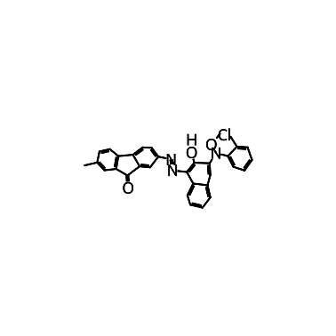 CON(c1ccccc1Cl)c1cc2ccccc2c(N=Nc2ccc3c(c2)C(=O)c2cc(C)ccc2-3)c1O